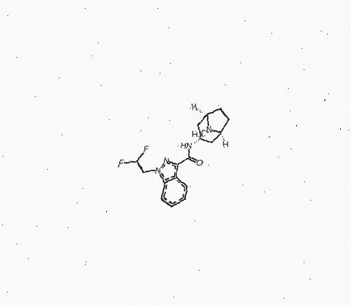 CN1[C@@H]2CC[C@H]1C[C@H](NC(=O)c1nn(CC(F)F)c3ccccc13)C2